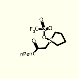 CCCCCC(=O)CS1(OS(=O)(=O)C(F)(F)F)CCCC1